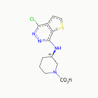 O=C(O)N1CCC[C@@H](Nc2nnc(Cl)c3ccsc23)C1